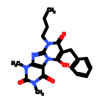 CCCCn1c(=O)c(Cc2ccccc2)c(O)n2c3c(=O)n(C)c(=O)n(C)c3nc12